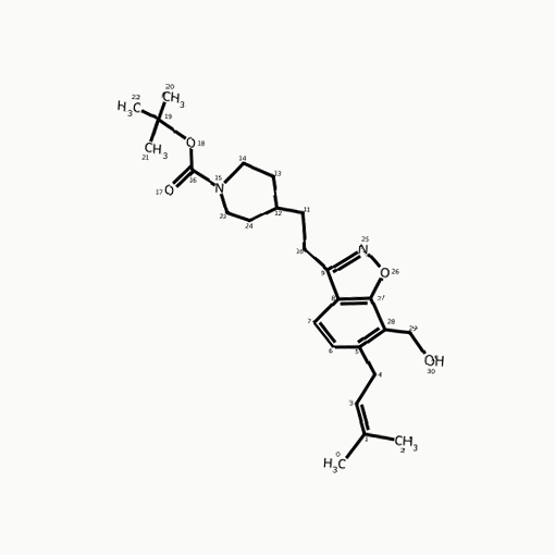 CC(C)=CCc1ccc2c(CCC3CCN(C(=O)OC(C)(C)C)CC3)noc2c1CO